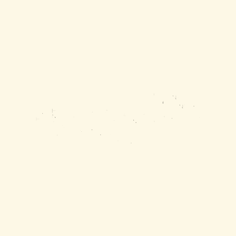 CCc1nn2ccccc2c1CCN1CCCc2cc(C=CC(=O)NO)ccc2C1